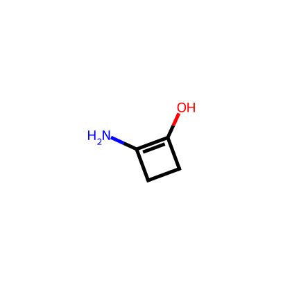 NC1=C(O)CC1